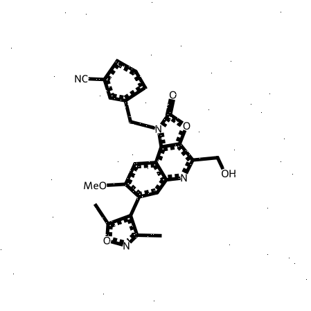 COc1cc2c(cc1-c1c(C)noc1C)nc(CO)c1oc(=O)n(Cc3cccc(C#N)c3)c12